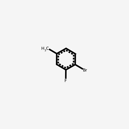 Cc1c[c]c(Br)c(F)c1